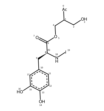 CC(=O)C(CO)COC(=O)[C@H](Cc1ccc(O)c(O)c1)NI